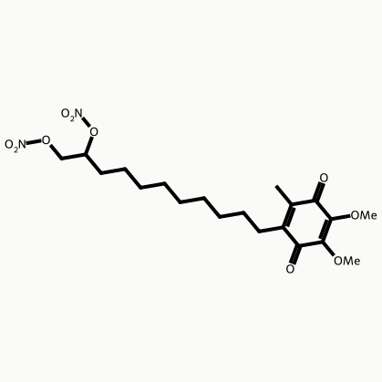 COC1=C(OC)C(=O)C(CCCCCCCCCC(CO[N+](=O)[O-])O[N+](=O)[O-])=C(C)C1=O